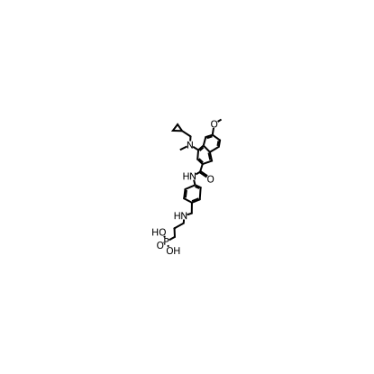 COc1ccc2cc(C(=O)Nc3ccc(CNCCCP(=O)(O)O)cc3)cc(N(C)CC3CC3)c2c1